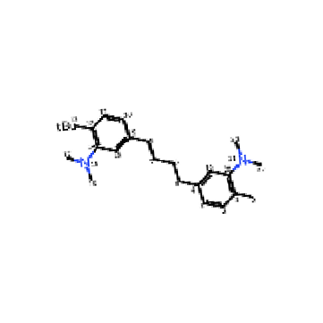 Cc1ccc(CCCCc2ccc(C(C)(C)C)c(N(C)C)c2)cc1N(C)C